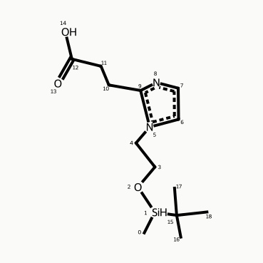 C[SiH](OCCn1ccnc1CCC(=O)O)C(C)(C)C